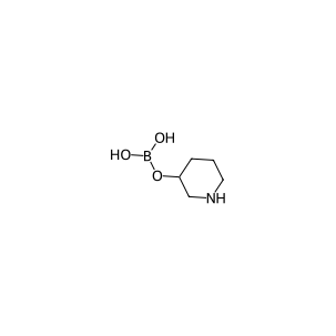 OB(O)OC1CCCNC1